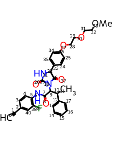 C#Cc1ccc(NC(=O)C(C(C)c2ccccc2)N2C(=O)NC(c3ccc(OCCOCCOC)cc3)C2=O)c(F)c1